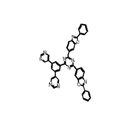 c1ccc(-c2nc3ccc(-c4nc(-c5cc(-c6cncnc6)cc(-c6cncnc6)c5)nc(-c5ccc6nc(-c7ccccc7)oc6c5)n4)cc3o2)cc1